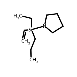 C=C[Si](CC)(CCC)N1CCCC1